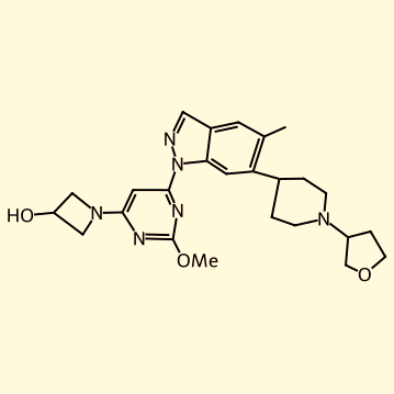 COc1nc(N2CC(O)C2)cc(-n2ncc3cc(C)c(C4CCN(C5CCOC5)CC4)cc32)n1